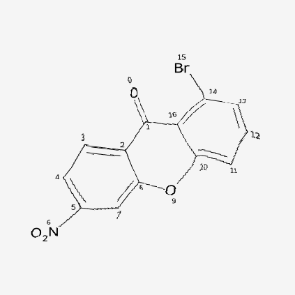 O=c1c2ccc([N+](=O)[O-])cc2oc2cccc(Br)c12